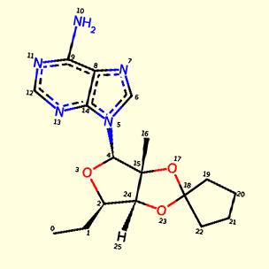 CC[C@H]1O[C@@H](n2cnc3c(N)ncnc32)[C@]2(C)OC3(CCCC3)O[C@H]12